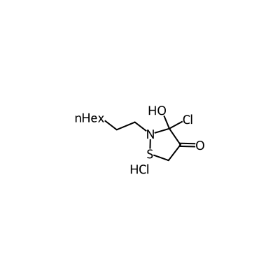 CCCCCCCCN1SCC(=O)C1(O)Cl.Cl